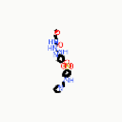 COCCNC(=O)Nc1nc2ccc(OS(=O)(=O)c3ccc(NCCN4CCCC4)cc3)cc2[nH]1